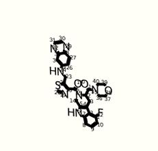 O=C(C1Cc2c([nH]c3cccc(F)c23)CN1C(=O)c1ncsc1CNc1ccc2nccnc2c1)N1CCOCC1